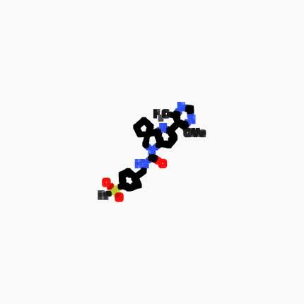 CCS(=O)(=O)c1ccc(CNC(=O)N2CC3(CCCC3)c3nc(-c4c(OC)ncnc4C(F)(F)F)ccc32)cc1